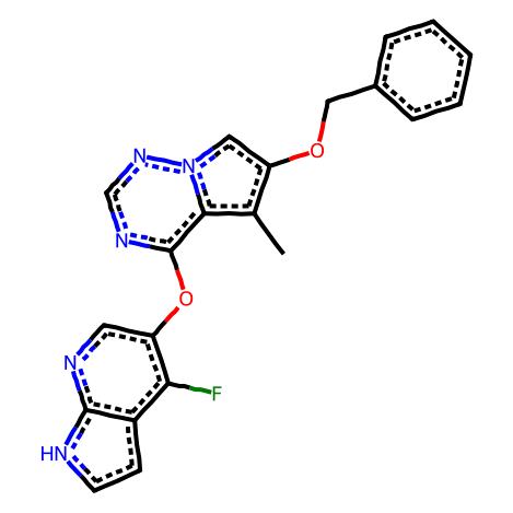 Cc1c(OCc2ccccc2)cn2ncnc(Oc3cnc4[nH]ccc4c3F)c12